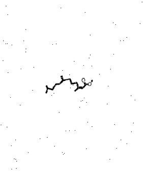 COC(=O)C=C(C)CCCC(C)CCCC(C)C